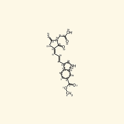 COC(=O)c1ccc2c(C=CC=C3SC(=S)N(CC(=O)O)C3=O)c[nH]c2c1